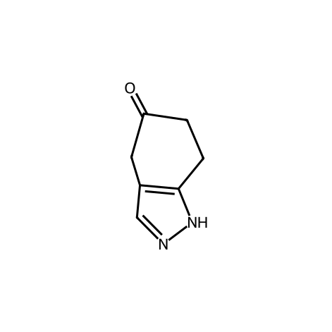 O=C1CCc2[nH]ncc2C1